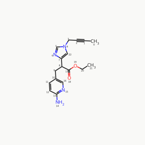 CC#CCn1cnc(C(Cc2ccc(N)nc2)C(=O)OCC)c1